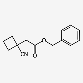 N#CC1(CC(=O)OCc2ccccc2)CCC1